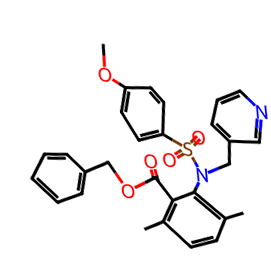 COc1ccc(S(=O)(=O)N(Cc2cccnc2)c2c(C)ccc(C)c2C(=O)OCc2ccccc2)cc1